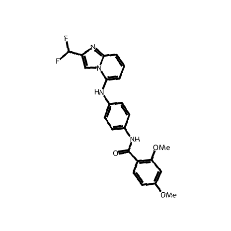 COc1ccc(C(=O)Nc2ccc(Nc3cccc4nc(C(F)F)cn34)cc2)c(OC)c1